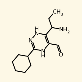 CCC(N)C1=C(C=O)NC(C2CCCCC2)=NN1